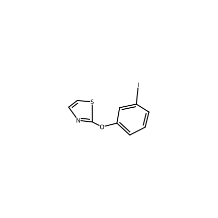 Ic1cccc(Oc2nccs2)c1